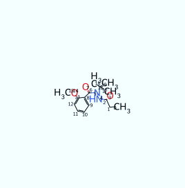 CCC(=O)NN(C(=O)c1ccccc1OC)C(C)(C)C